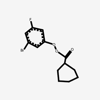 O=C(OOc1cc(F)cc(Br)c1)C1CCCCC1